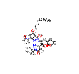 COCCCCOc1cc(C(=O)N[C@@H](Cc2ccccc2)[C@@H](O)C[C@@H](C)C(=O)NC2CC3CCC2C3)cc(N2CCCC2=O)c1